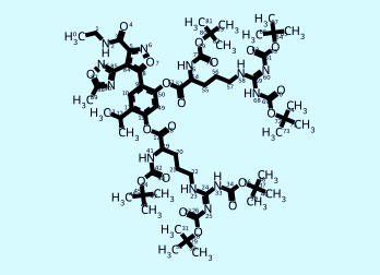 CCNC(=O)c1noc(-c2cc(C(C)C)c(OC(=O)C(CCCN/C(=N\C(=O)OC(C)(C)C)NC(=O)OC(C)(C)C)NC(=O)OC(C)(C)C)cc2OC(=O)C(CCCN/C(=N\C(=O)OC(C)(C)C)NC(=O)OC(C)(C)C)NC(=O)OC(C)(C)C)c1-c1noc(C)n1